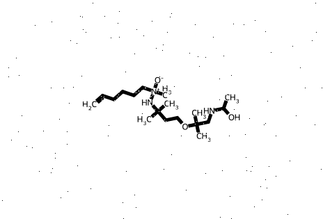 C=CCCCC[N+](C)([O-])NC(C)(C)CCOC(C)(C)CNC(C)O